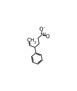 C=CC(CC[N+](=O)[O-])c1ccccc1